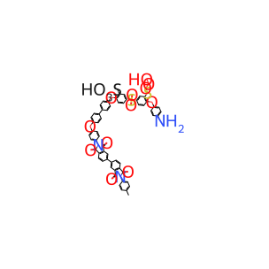 Cc1ccc(N2C(=O)c3ccc(-c4ccc5c(c4)C(=O)N(c4ccc(Oc6ccc(-c7ccc(Oc8ccc(S(=O)(=O)c9ccc(Oc%10ccc(N)cc%10)c(SOOO)c9)cc8S(=O)(=O)O)cc7)cc6)cc4)C5=O)cc3C2=O)cc1